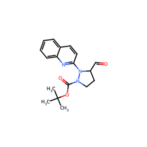 CC(C)(C)OC(=O)N1CCC(C=O)N1c1ccc2ccccc2n1